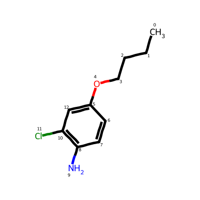 CCCCOc1ccc(N)c(Cl)c1